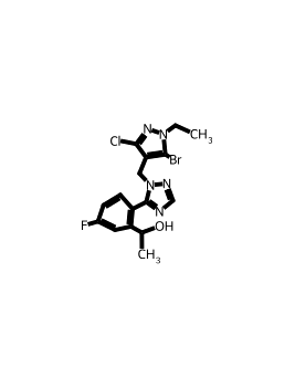 CCn1nc(Cl)c(Cn2ncnc2-c2ccc(F)cc2C(C)O)c1Br